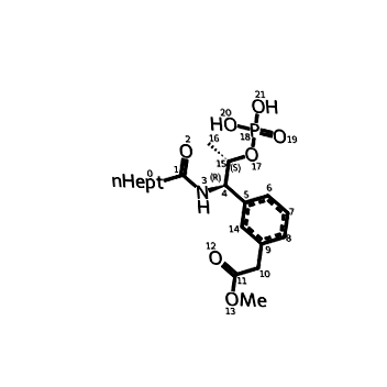 CCCCCCCC(=O)N[C@H](c1cccc(CC(=O)OC)c1)[C@H](C)OP(=O)(O)O